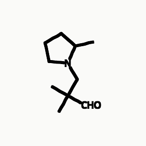 CC1CCCN1CC(C)(C)C=O